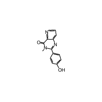 Cn1c(-c2ccc(O)cc2)nc2cccnc2c1=O